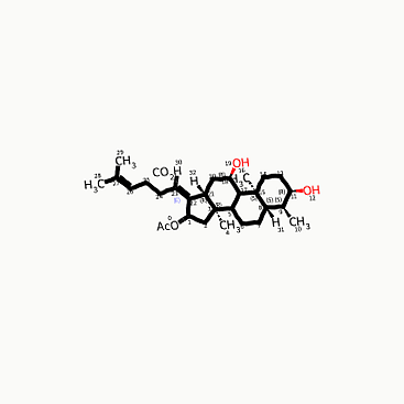 CC(=O)OC1C[C@]2(C)C3CC[C@H]4[C@H](C)[C@H](O)CC[C@]4(C)C3[C@H](O)C[C@H]2/C1=C(/CCC=C(C)C)C(=O)O